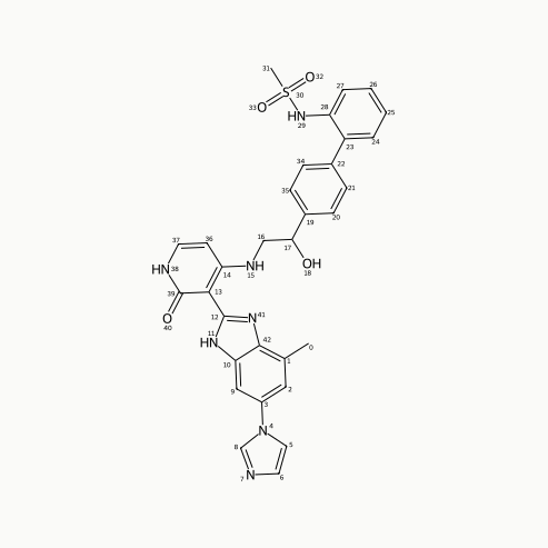 Cc1cc(-n2ccnc2)cc2[nH]c(-c3c(NCC(O)c4ccc(-c5ccccc5NS(C)(=O)=O)cc4)cc[nH]c3=O)nc12